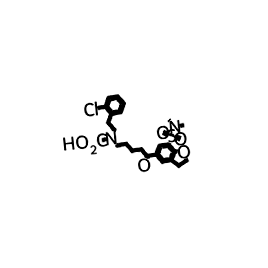 CN(C)S(=O)(=O)c1cc(C(=O)CCCCN(CCc2ccccc2Cl)C(=O)O)cc2c1OCC2